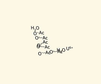 CC(=O)[O-].CC(=O)[O-].CC(=O)[O-].CC(=O)[O-].CC(=O)[O-].CC(=O)[O-].O.O.[U+6]